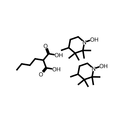 CC1CCN(O)C(C)(C)C1(C)C.CC1CCN(O)C(C)(C)C1(C)C.CCCCC(C(=O)O)C(=O)O